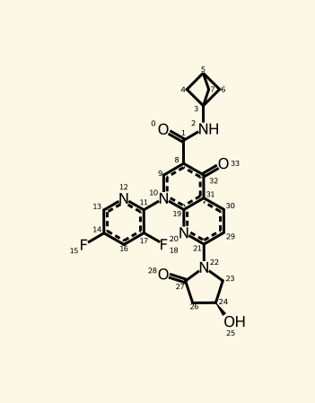 O=C(NC12CC(C1)C2)c1cn(-c2ncc(F)cc2F)c2nc(N3C[C@@H](O)CC3=O)ccc2c1=O